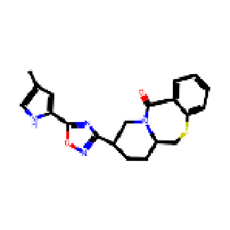 Cc1c[nH]c(-c2nc(C3CCC4CSc5ccccc5C(=O)N4C3)no2)c1